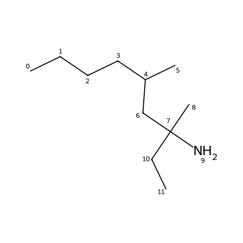 CCCCC(C)CC(C)(N)CC